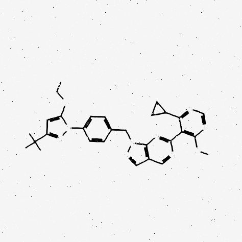 CCOc1cc(C(F)(F)F)nn1-c1ccc(Cn2ncc3cnc(-c4c(OC)ncnc4C4CC4)nc32)cc1